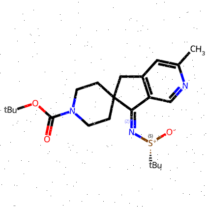 Cc1cc2c(cn1)/C(=N\[S@+]([O-])C(C)(C)C)C1(CCN(C(=O)OC(C)(C)C)CC1)C2